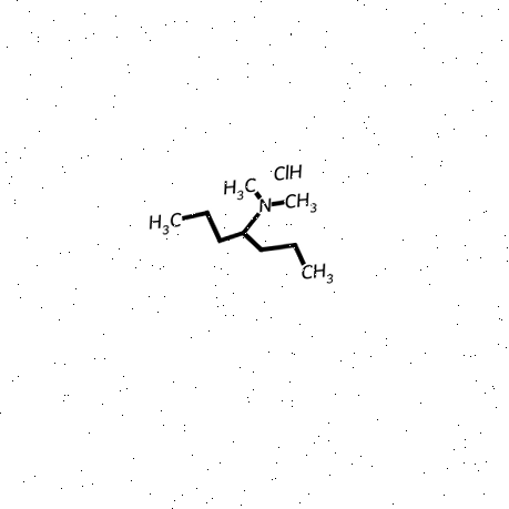 CCCC(CCC)N(C)C.Cl